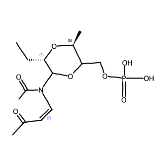 CC[C@@H]1O[C@@H](C)C(COP(=O)(O)O)OC1N(/C=C\C(C)=O)C(C)=O